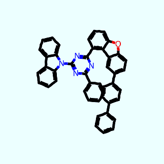 c1ccc(-c2ccc(-c3ccc4oc5cccc(-c6nc(-c7ccccc7)nc(-n7c8ccccc8c8ccccc87)n6)c5c4c3)cc2)cc1